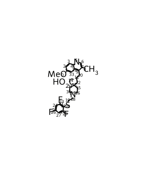 COc1ccc2ncc(C)c(CCCC3(C(=O)O)CCN(CCSc4c(F)cc(F)cc4F)CC3)c2c1